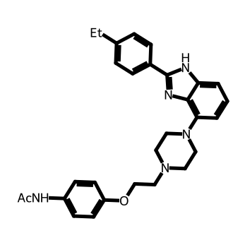 CCc1ccc(-c2nc3c(N4CCN(CCOc5ccc(NC(C)=O)cc5)CC4)cccc3[nH]2)cc1